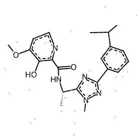 COc1ccnc(C(=O)N[C@@H](C)c2nc(-c3cccc(C(C)C)c3)nn2C)c1O